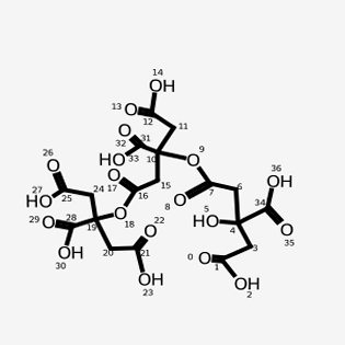 O=C(O)CC(O)(CC(=O)OC(CC(=O)O)(CC(=O)OC(CC(=O)O)(CC(=O)O)C(=O)O)C(=O)O)C(=O)O